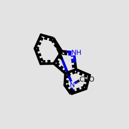 O=CN1c2ccc3[nH]c4c1cccc4c3c2